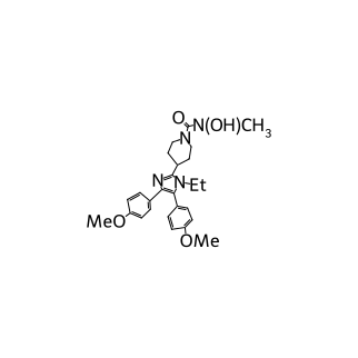 CCn1c(C2CCN(C(=O)N(C)O)CC2)nc(-c2ccc(OC)cc2)c1-c1ccc(OC)cc1